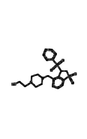 O=S1(=O)CC(S(=O)(=O)c2ccccc2)c2c(CN3CCN(CCO)CC3)cccc21